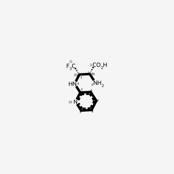 N[C@@H](C(=O)O)[C@H](Nc1ccccn1)C(F)(F)F